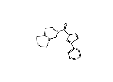 O=C(N1CCC2CCCCC2C1)n1cnc(-c2ccccc2)c1